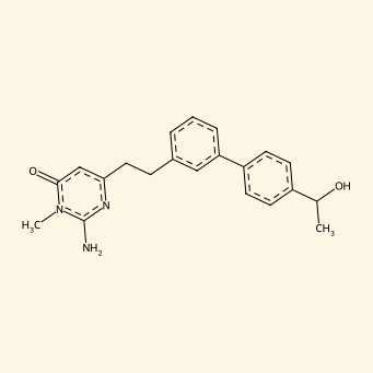 CC(O)c1ccc(-c2cccc(CCc3cc(=O)n(C)c(N)n3)c2)cc1